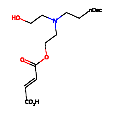 CCCCCCCCCCCCN(CCO)CCOC(=O)C=CC(=O)O